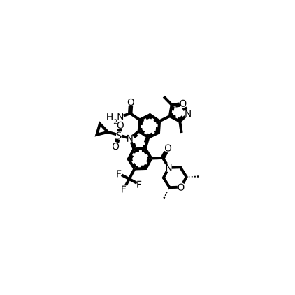 Cc1noc(C)c1-c1cc(C(N)=O)c2c(c1)c1c(C(=O)N3C[C@@H](C)O[C@@H](C)C3)cc(C(F)(F)F)cc1n2S(=O)(=O)C1CC1